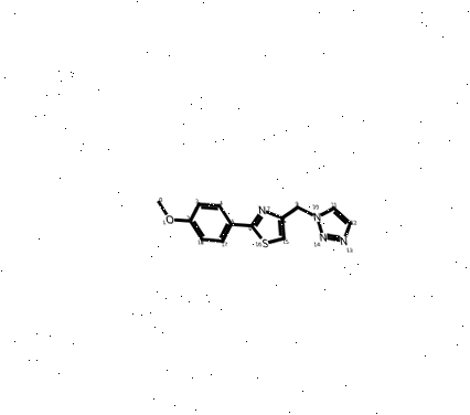 COc1ccc(-c2nc(Cn3ccnn3)cs2)cc1